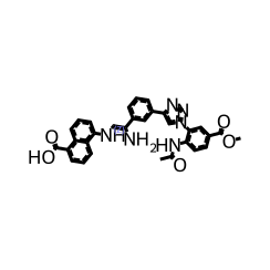 COC(=O)c1ccc(NC(C)=O)c(-n2cc(-c3cccc(/C(N)=C/Nc4cccc5c(C(=O)O)cccc45)c3)nn2)c1